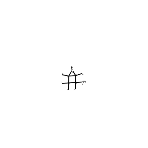 CCCC1(C)C(C)(C)C2(C)PC12C